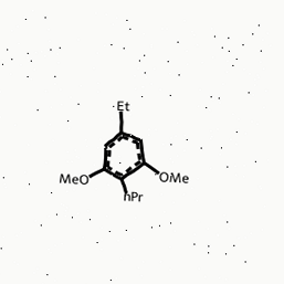 CCCc1c(OC)cc(CC)cc1OC